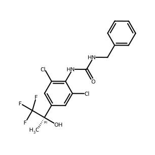 C[C@@](O)(c1cc(Cl)c(NC(=O)NCc2ccccc2)c(Cl)c1)C(F)(F)F